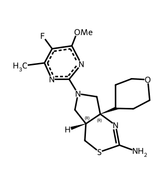 COc1nc(N2C[C@H]3CSC(N)=N[C@@]3(C3CCOCC3)C2)nc(C)c1F